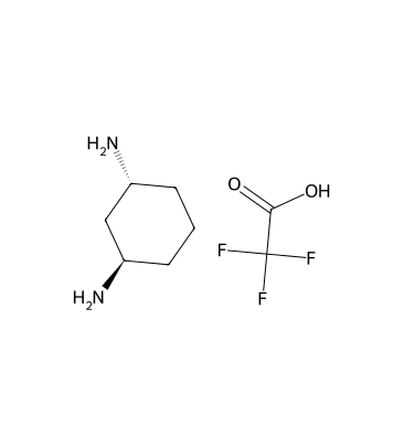 N[C@@H]1CCC[C@@H](N)C1.O=C(O)C(F)(F)F